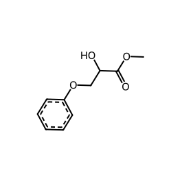 COC(=O)C(O)COc1ccccc1